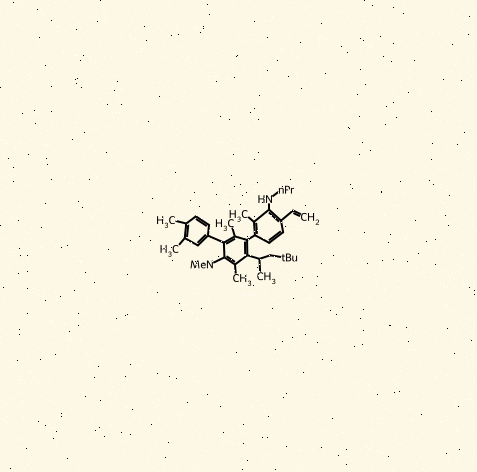 C=Cc1ccc(-c2c(C)c(-c3ccc(C)c(C)c3)c(NC)c(C)c2C(C)CC(C)(C)C)c(C)c1NCCC